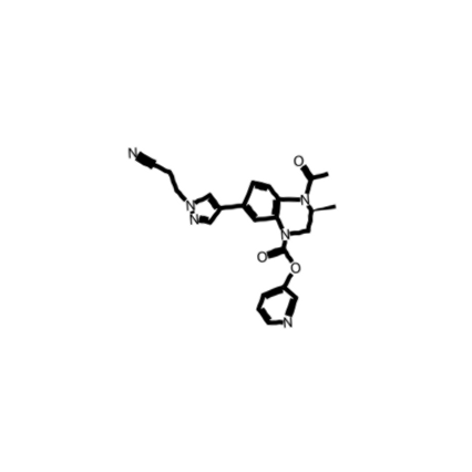 CC(=O)N1c2ccc(-c3cnn(CCC#N)c3)cc2N(C(=O)Oc2cccnc2)C[C@@H]1C